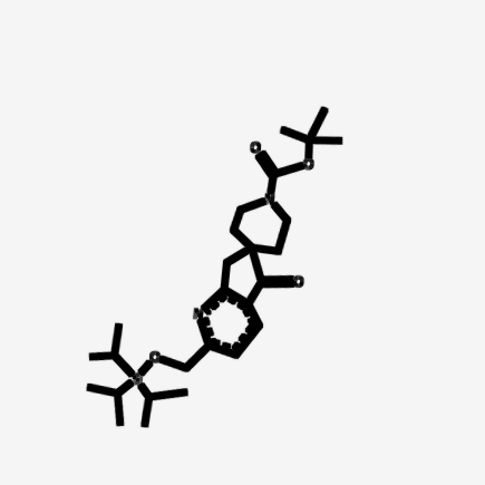 CC(C)[Si](OCc1ccc2c(n1)CC1(CCN(C(=O)OC(C)(C)C)CC1)C2=O)(C(C)C)C(C)C